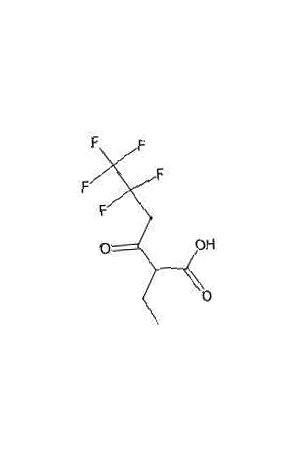 CCC(C(=O)O)C(=O)CC(F)(F)C(F)(F)F